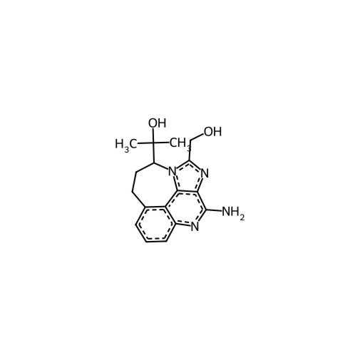 CC(C)(O)C1CCc2cccc3nc(N)c4nc(CO)n1c4c23